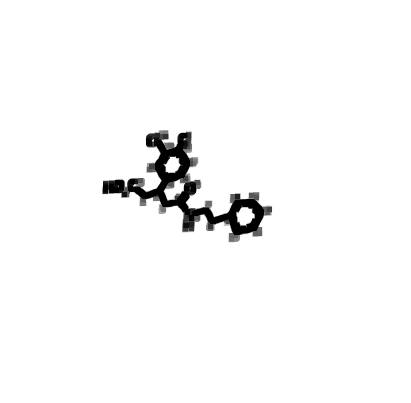 O=C(O)CC(CC(=O)NCCc1ccccc1)c1ccc(Cl)c(Cl)c1